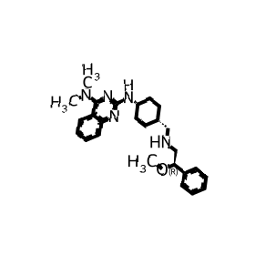 CO[C@@H](CNC[C@H]1CC[C@@H](Nc2nc(N(C)C)c3ccccc3n2)CC1)c1ccccc1